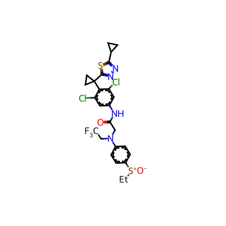 CC[S+]([O-])c1ccc(N(CC(=O)Nc2cc(Cl)c(C3(c4nnc(C5CC5)s4)CC3)c(Cl)c2)CC(F)(F)F)cc1